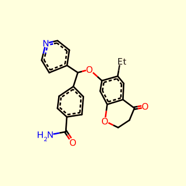 CCc1cc2c(cc1OC(c1ccncc1)c1ccc(C(N)=O)cc1)OCCC2=O